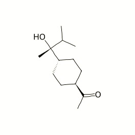 CC(=O)[C@H]1CC[C@H]([C@](C)(O)C(C)C)CC1